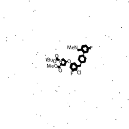 CNCc1ccc(F)cc1[C@H]1CC[C@H](Cc2cc(O[C@H]3C[C@@H](C(=O)OC)N(C(=O)OC(C)(C)C)C3)cc(F)c2Cl)CC1